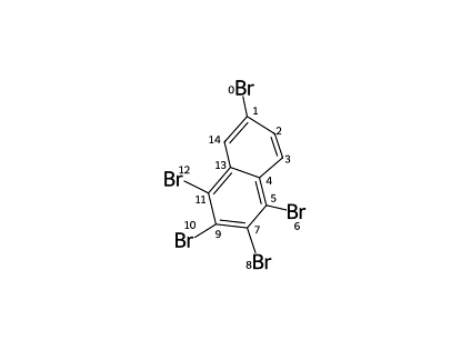 Brc1ccc2c(Br)c(Br)c(Br)c(Br)c2c1